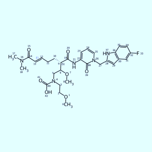 COCCN(CC(OC)[C@H](CC/C=C/C(=O)N(C)C)C(=O)Nc1cccn(Cc2cc3cc(F)ccc3[nH]2)c1=O)C(=O)O